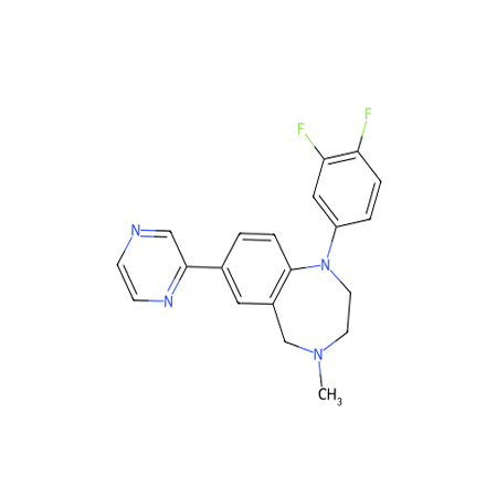 CN1CCN(c2ccc(F)c(F)c2)c2ccc(-c3cnccn3)cc2C1